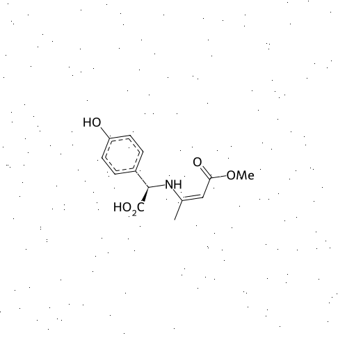 COC(=O)/C=C(/C)N[C@@H](C(=O)O)c1ccc(O)cc1